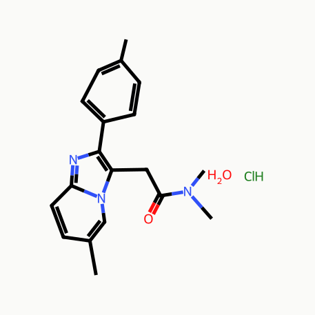 Cc1ccc(-c2nc3ccc(C)cn3c2CC(=O)N(C)C)cc1.Cl.O